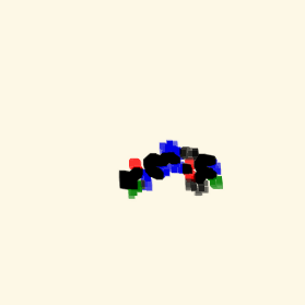 C[C@@H](OC(=O)Nc1c(-c2ccc(NC(=O)C3CCC3(F)F)cn2)nnn1C)c1cccnc1Cl